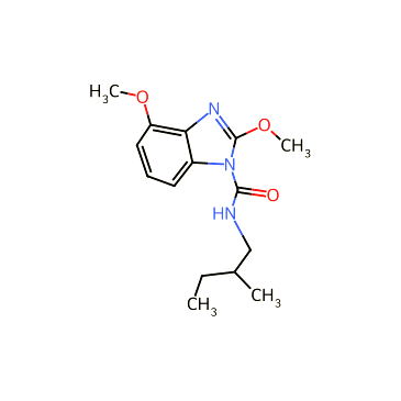 CCC(C)CNC(=O)n1c(OC)nc2c(OC)cccc21